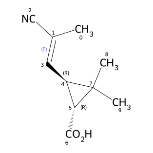 C/C(C#N)=C\[C@@H]1[C@@H](C(=O)O)C1(C)C